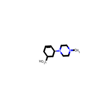 CN1CCN([C@@H]2C=CCC(C(=O)O)C2)CC1